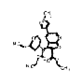 CCOC(=O)c1oc2ncc(-c3cnn(C)c3)cc2c1N(C(=O)OCC)[C@H]1CCO[C@@H](CC)C1